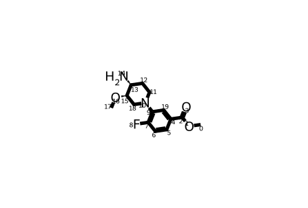 COC(=O)c1ccc(F)c(N2CC[C@@H](N)[C@@H](OC)C2)c1